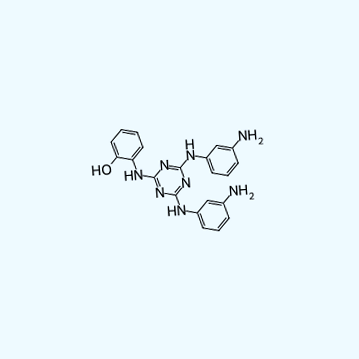 Nc1cccc(Nc2nc(Nc3cccc(N)c3)nc(Nc3ccccc3O)n2)c1